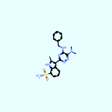 Cc1[nH]c2c(S(N)(=O)=O)cccc2c1-c1nnc(N(C)C)c(NCc2ccccc2)n1